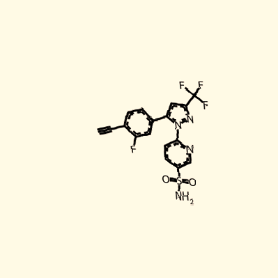 C#Cc1ccc(-c2cc(C(F)(F)F)nn2-c2ccc(S(N)(=O)=O)cn2)cc1F